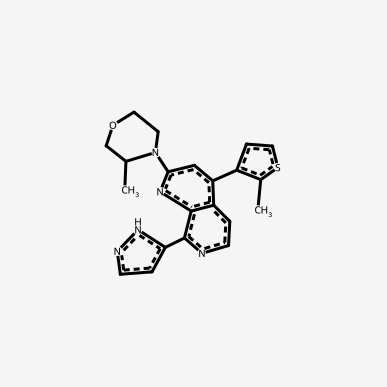 Cc1sccc1-c1cc(N2CCOCC2C)nc2c(-c3ccn[nH]3)nccc12